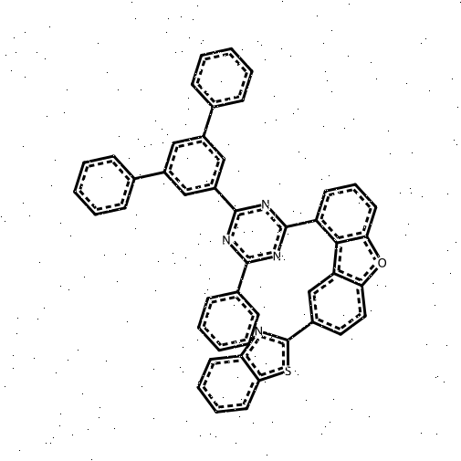 c1ccc(-c2cc(-c3ccccc3)cc(-c3nc(-c4ccccc4)nc(-c4cccc5oc6ccc(-c7nc8ccccc8s7)cc6c45)n3)c2)cc1